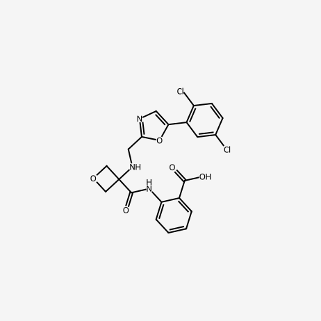 O=C(O)c1ccccc1NC(=O)C1(NCc2ncc(-c3cc(Cl)ccc3Cl)o2)COC1